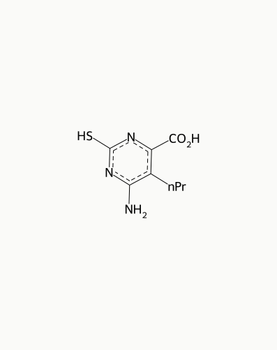 CCCc1c(N)nc(S)nc1C(=O)O